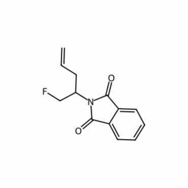 C=CCC(CF)N1C(=O)c2ccccc2C1=O